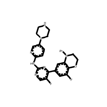 CC(C)N1CCOc2c(F)cc(-c3nc(Nc4ccc(N5CCNCC5)cn4)ncc3F)cc21